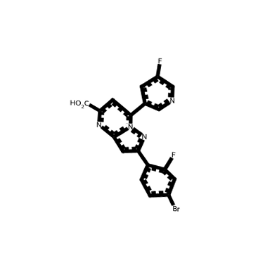 O=C(O)c1cc(-c2cncc(F)c2)n2nc(-c3ccc(Br)cc3F)cc2n1